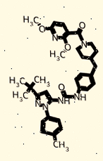 COc1ccc(C(=O)N2CCC(Cc3ccc(NC(=O)Nc4cc(C(C)(C)C)nn4-c4ccc(C)cc4)cc3)CC2)c(OC)n1